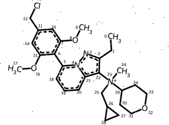 CCc1nn2c(-c3c(OC)cc(CCl)cc3OC)cccc2c1[N+](C)(CC1CC1)C1CCOCC1